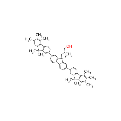 C=CC1(CCCO)c2cc(-c3ccc4c(c3)C(C)(C)c3cc(C)c(C)c(C)c3-4)ccc2-c2ccc(-c3ccc4c(c3)C(C)(C)c3cc(C)c(C)c(C)c3-4)cc21